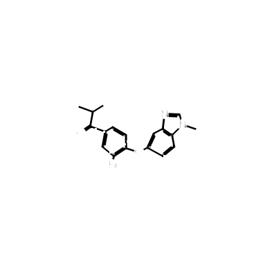 CC(C)C(=O)c1ccc(Oc2ccc3c(c2)ncn3C)c(Br)c1